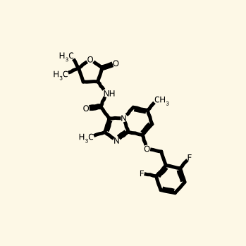 Cc1cc(OCc2c(F)cccc2F)c2nc(C)c(C(=O)NC3CC(C)(C)OC3=O)n2c1